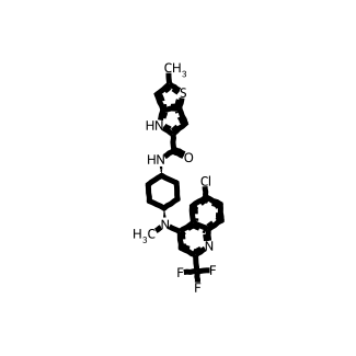 Cc1cc2[nH]c(C(=O)N[C@H]3CC[C@@H](N(C)c4cc(C(F)(F)F)nc5ccc(Cl)cc45)CC3)cc2s1